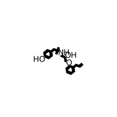 C=CCc1ccccc1OCC(O)CNC(C)(C)Cc1ccc(O)cc1